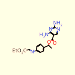 CCOC(=O)C=Nc1ccc(C(C)OC(=O)c2cnc(N)nc2N)cc1